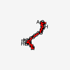 CC(=O)c1c(C)c2cnc(Nc3ccc(N4CCN(C(=O)CCOCCOCCOCCOCCOCCC(=O)N[C@H](C(=O)N5C[C@H](O)C[C@H]5C(=O)NCc5ccc(-c6scnc6C)cc5)C(C)(C)C)CC4)cn3)nc2n(C2CCCC2)c1=O